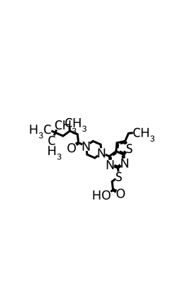 CCc1cc2c(N3CCN(C(=O)CC(C)CC(C)(C)C)CC3)nc(SCC(=O)O)nc2s1